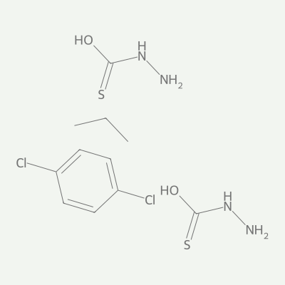 CCC.Clc1ccc(Cl)cc1.NNC(O)=S.NNC(O)=S